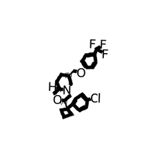 FC(F)(F)c1ccc(OC[C@@H]2CC[C@H]3CO[C@H](C4(c5ccc(Cl)cc5)CCC4)CN3C2)cc1